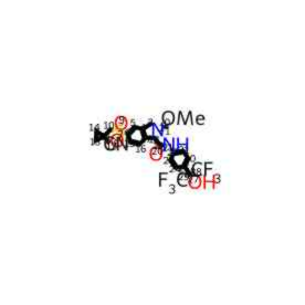 COCN1Cc2cc(S(=O)(=O)CC3(C#N)CC3)ccc2C1C(=O)Nc1ccc(C(O)(C(F)(F)F)C(F)(F)F)cc1